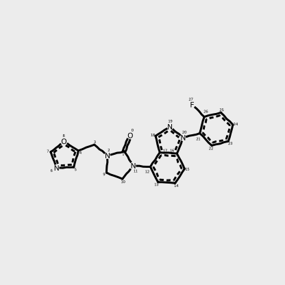 O=C1N(Cc2cnco2)CCN1c1cccc2c1cnn2-c1ccccc1F